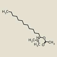 CCCCCCCCCCCCC(OC(C)=O)[SiH](C)C